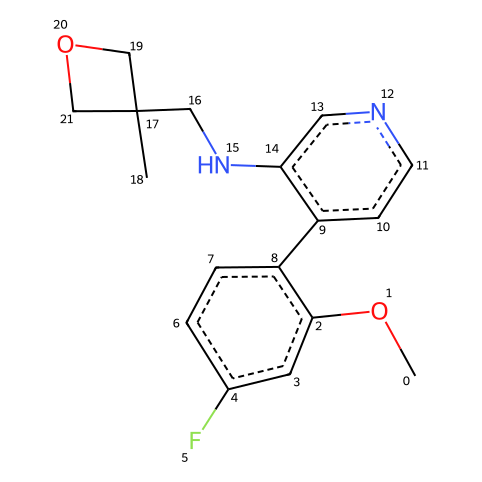 COc1cc(F)ccc1-c1ccncc1NCC1(C)COC1